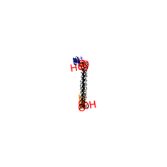 C[N+](C)(C)CCOP(=O)(O)OCCCCCCCCCCCCCCCCO[PH](=O)O